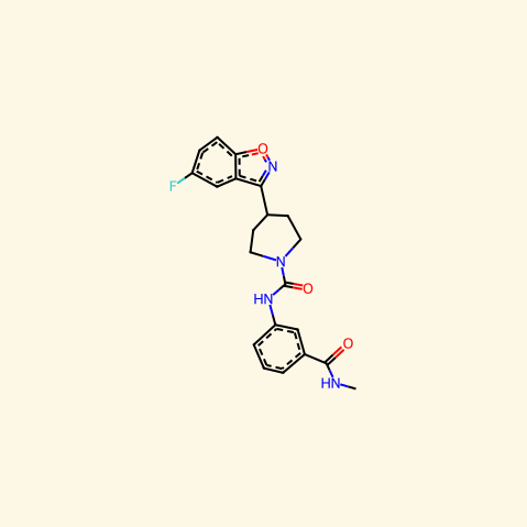 CNC(=O)c1cccc(NC(=O)N2CCC(c3noc4ccc(F)cc34)CC2)c1